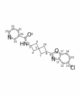 O=C(NC1CC2(C1)CC(c1nc3cc(Cl)ccc3o1)C2)c1cccnc1